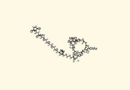 COc1cc2cc(c1Cl)N(C)C(=O)C[C@H](OC(=O)[C@H](C)N(C)C(=O)CCCCCn1cc(COCCOCCOCCOCCNC(=O)CCN3C(=O)C=CC3=O)nn1)[C@@H](C)C[C@H](C)[C@@H]1C[C@@](O)(NC(=O)O1)C(OC)/C=C/C=C(\C)C2